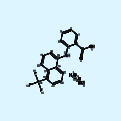 Cl.O.O.O=C(O)c1ccccc1Nc1ccnc2c(C(F)(F)F)cccc12